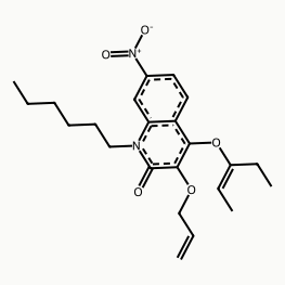 C=CCOc1c(OC(=CC)CC)c2ccc([N+](=O)[O-])cc2n(CCCCCC)c1=O